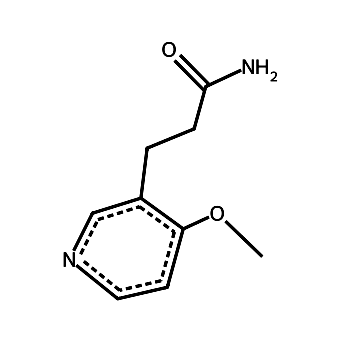 COc1ccncc1CCC(N)=O